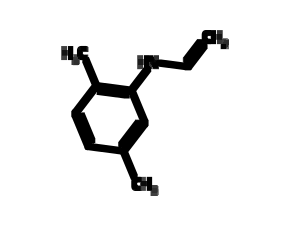 C=CNc1cc(C)ccc1C